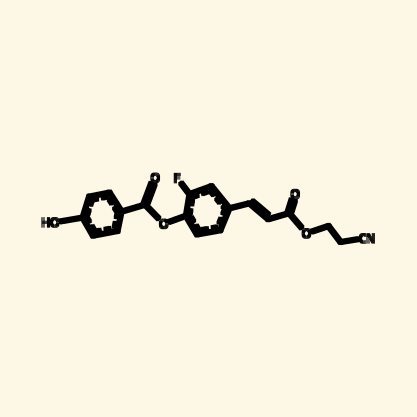 N#CCCOC(=O)/C=C/c1ccc(OC(=O)c2ccc(O)cc2)c(F)c1